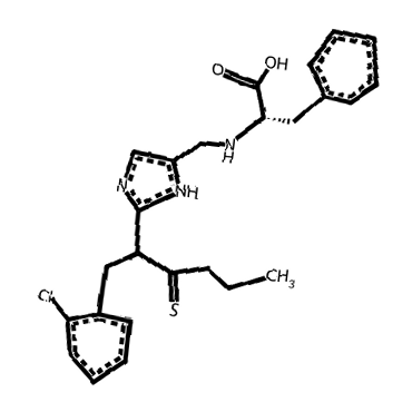 CCCC(=S)C(Cc1ccccc1Cl)c1ncc(CN[C@@H](Cc2ccccc2)C(=O)O)[nH]1